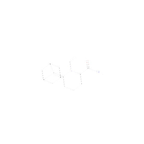 NC(=O)C1CCCC(=C2C3[C]C2CCC3)N1C=O